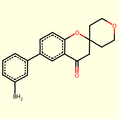 Bc1cccc(-c2ccc3c(c2)C(=O)CC2(CCOCC2)O3)c1